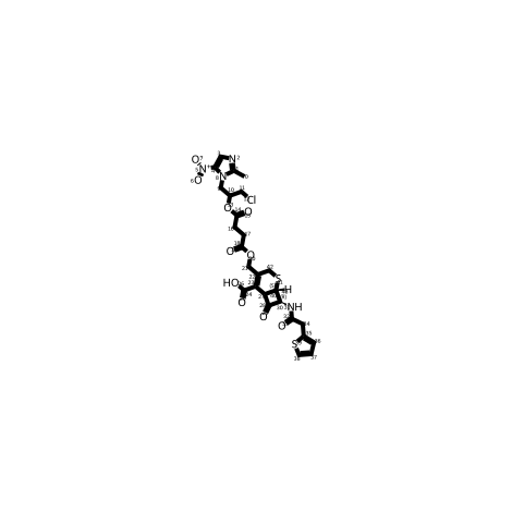 Cc1ncc([N+](=O)[O-])n1CC(CCl)OC(=O)CCC(=O)OCC1=C(C(=O)O)C2C(=O)[C@@H](NC(=O)Cc3cccs3)[C@H]2SC1